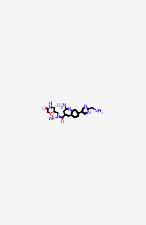 CCCN(CC1CNC(=O)CO1)C(=O)C1=Cc2ccc(-c3cnc(CN)nc3)cc2N=C(N)C1